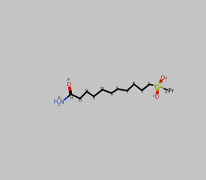 CC(C)S(=O)(=O)CCCCCCCCCCC(N)=O